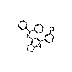 Clc1cccc(-c2cc(N=C(c3ccccc3)c3ccccc3)c3c(n2)CCC3)c1